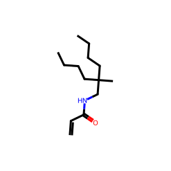 C=CC(=O)NCC(C)(CCCC)CCCC